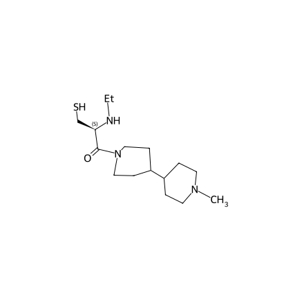 CCN[C@H](CS)C(=O)N1CCC(C2CCN(C)CC2)CC1